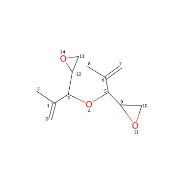 C=C(C)C(OC(C(=C)C)C1CO1)C1CO1